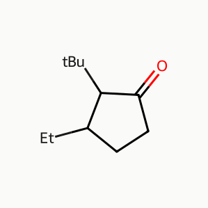 CCC1CCC(=O)C1C(C)(C)C